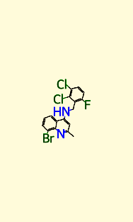 Cc1cc(NCc2c(F)ccc(Cl)c2Cl)c2cccc(Br)c2n1